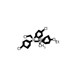 CCOc1ccc([Si](C)(C)C[Si](CCl)(c2ccc(Cl)cc2)c2ccc(Cl)cc2)cc1